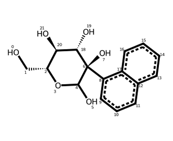 OC[C@H]1OC(O)[C@@](O)(c2cccc3ccccc23)[C@@H](O)[C@@H]1O